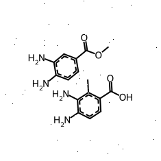 COC(=O)c1ccc(N)c(N)c1.Cc1c(C(=O)O)ccc(N)c1N